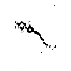 O=C(O)CCCCCC#Cc1ccc(N2CCC(=O)NC2=O)c(F)c1